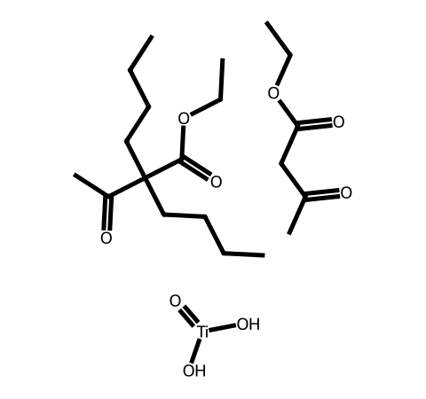 CCCCC(CCCC)(C(C)=O)C(=O)OCC.CCOC(=O)CC(C)=O.[O]=[Ti]([OH])[OH]